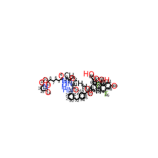 CC(NC(=O)CCCCC(=O)ON1C(=O)CCC1=O)C(=O)N[C@@H](C)C(=O)Nc1cccc(Cc2ccc(C3OC[C@@H](C[C@H]4[C@@H]5C[C@H](F)C6=CC(=O)C=CC6(C)[C@@]5(F)C(O)CC4(C)CC(=O)CO)O3)cc2)c1